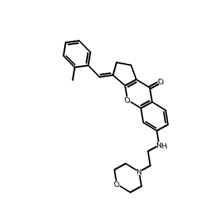 Cc1ccccc1C=C1CCc2c1oc1cc(NCCN3CCOCC3)ccc1c2=O